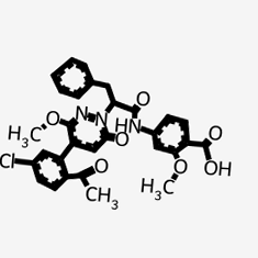 COc1cc(NC(=O)C(Cc2ccccc2)n2nc(OC)c(-c3cc(Cl)ccc3C(C)=O)cc2=O)ccc1C(=O)O